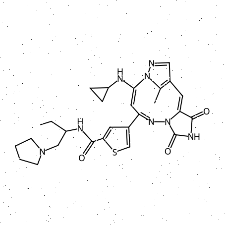 CCC(CN1CCCC1)NC(=O)c1cc(-c2cc(NC3CC3)n3ncc(cc4c(=O)[nH]c(=O)n-4n2)c3C)cs1